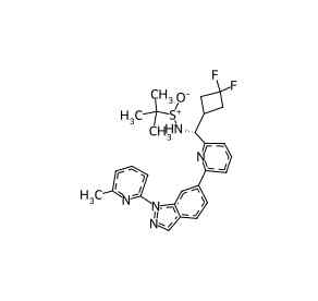 Cc1cccc(-n2ncc3ccc(-c4cccc([C@H](N[S+]([O-])C(C)(C)C)C5CC(F)(F)C5)n4)cc32)n1